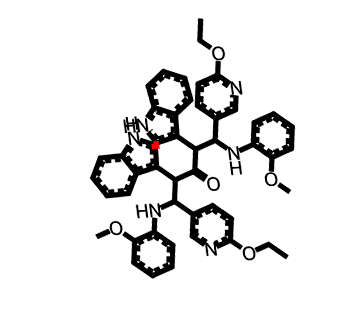 CCOc1ccc(C(Nc2ccccc2OC)C(C(=O)C(c2c[nH]c3ccccc23)C(Nc2ccccc2OC)c2ccc(OCC)nc2)c2c[nH]c3ccccc23)cn1